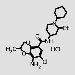 CCC1CC(NC(=O)c2cc(Cl)c(N)c3c2OCC(C)O3)CCN1C1CCCCC1.Cl